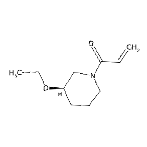 C=CC(=O)N1CCC[C@@H](OCC)C1